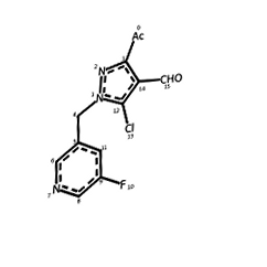 CC(=O)c1nn(Cc2cncc(F)c2)c(Cl)c1C=O